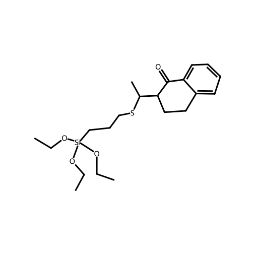 CCO[Si](CCCSC(C)C1CCc2ccccc2C1=O)(OCC)OCC